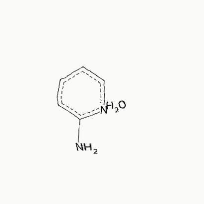 Nc1ccccn1.O